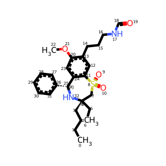 CCCC[C@]1(CC)CS(=O)(=O)c2cc(CCCNC=O)c(OC)cc2[C@@H](c2ccccc2)N1